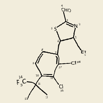 CCC1N=C(C=O)SC1c1ccc(C(C)(C)C(F)(F)F)c(Cl)c1Cl